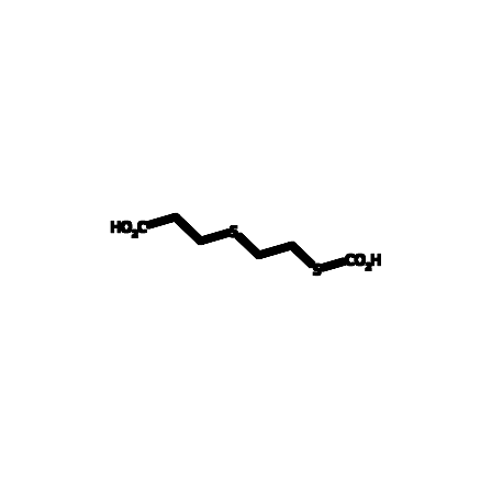 O=C(O)CCSCCSC(=O)O